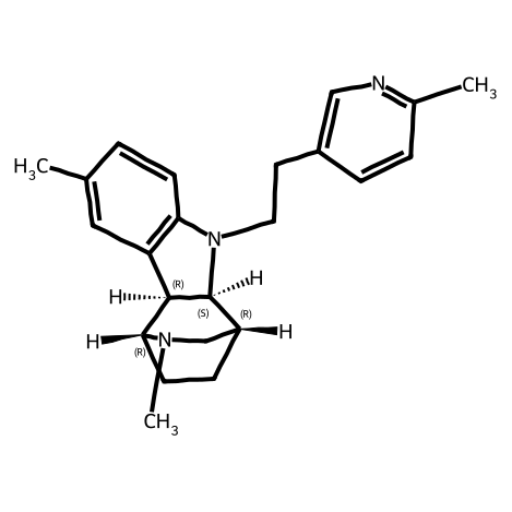 Cc1ccc2c(c1)[C@H]1[C@H]([C@@H]3CC[C@H]1N(C)C3)N2CCc1ccc(C)nc1